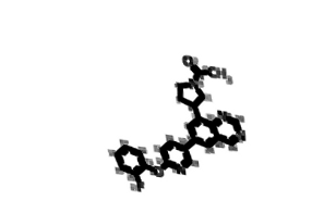 CC(=O)N1CCC(c2cc(-c3ccc(Oc4ccccc4F)nc3)cc3cncnc23)C1